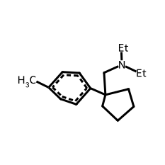 CCN(CC)CC1(c2ccc(C)cc2)CCCC1